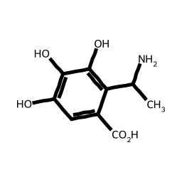 CC(N)c1c(C(=O)O)cc(O)c(O)c1O